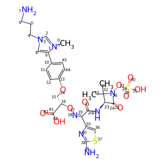 C[n+]1cn(CCCN)cc1-c1ccc(OC[C@H](O/N=C(\C(=O)N[C@@H]2C(=O)N(OS(=O)(=O)O)C2(C)C)c2csc(N)n2)C(=O)O)cc1